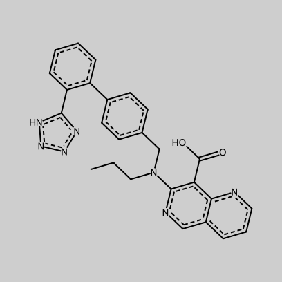 CCCN(Cc1ccc(-c2ccccc2-c2nnn[nH]2)cc1)c1ncc2cccnc2c1C(=O)O